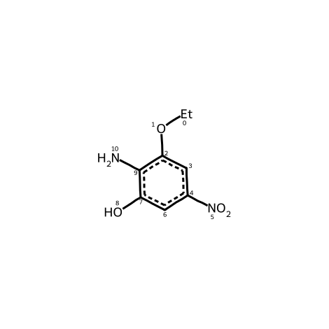 CCOc1cc([N+](=O)[O-])cc(O)c1N